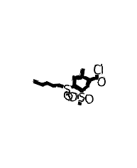 CCCCC[S+]([O-])c1cc(C)c(C(=O)Cl)cc1S(C)(=O)=O